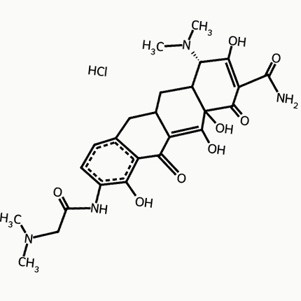 CN(C)CC(=O)Nc1ccc2c(c1O)C(=O)C1=C(O)C3(O)C(=O)C(C(N)=O)=C(O)[C@@H](N(C)C)C3CC1C2.Cl